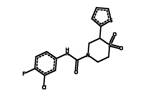 O=C(Nc1ccc(F)c(Cl)c1)N1CCS(=O)(=O)C(c2cccs2)C1